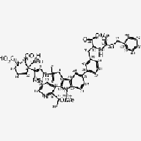 CCCCC1(c2cn(C(C)(C)Cc3c(-c4cccnc4[C@H](C)OC)n(CC)c4ccc(-c5cccc(CC(NC(=O)OCc6ccccc6)C(=O)OC)c5)cc34)nn2)CCCN(C(=O)O)N1C(=O)O